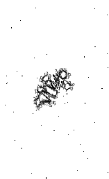 c1ccc(-c2nc(-n3c4ccccc4c4c5ccc6c7ccccc7ccc6c5ccc43)nc3ccccc23)cc1